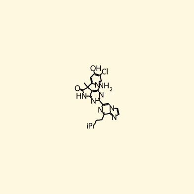 CC(C)CCc1nc(-c2nc(N)c3c(n2)NC(=O)C3(C)c2cc(O)c(Cl)cn2)cn2ccnc12